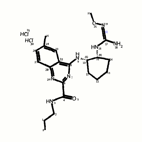 CCCNC(=O)c1nc(N[C@H]2CCCC[C@H]2N/C(N)=N\OC)c2cc(C)ccc2n1.Cl.Cl